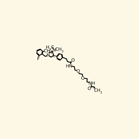 C=CC(=O)NCCOCCOCCNC(=O)CCc1ccc([C@H]2CN(Cc3c(C)cccc3F)C[C@@H]2N(C)C)cc1